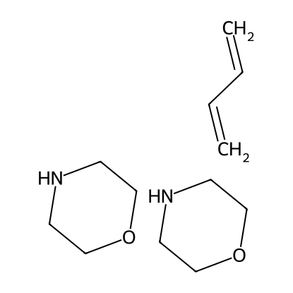 C1COCCN1.C1COCCN1.C=CC=C